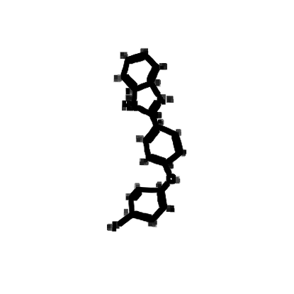 Fc1ccc(Oc2ccc(-c3nc4ccccc4[nH]3)cc2)cc1